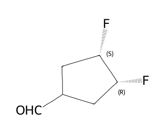 O=CC1C[C@@H](F)[C@@H](F)C1